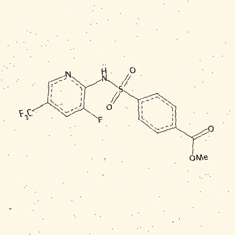 COC(=O)c1ccc(S(=O)(=O)Nc2ncc(C(F)(F)F)cc2F)cc1